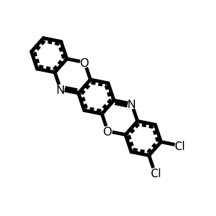 Clc1cc2c(cc1Cl)Oc1cc3c(cc1=N2)Oc1ccccc1N=3